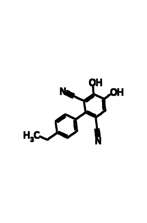 CCc1ccc(-c2c(C#N)cc(O)c(O)c2C#N)cc1